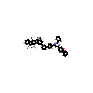 CC1(C)C2=C(C=C(c3cccc(C4C=CC(c5cc(C6C=c7oc8ccccc8c7=CC6)nc(C6=CC=CCC6)n5)=CC4)c3)CC2)c2cc3c(cc21)-c1ccccc1C3(C)C